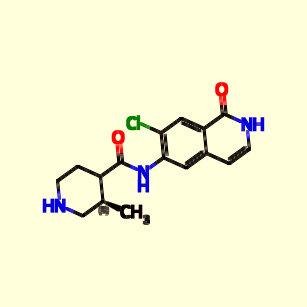 C[C@H]1CNCCC1C(=O)Nc1cc2cc[nH]c(=O)c2cc1Cl